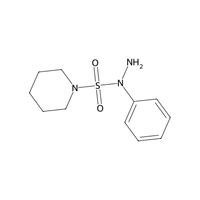 NN(c1ccccc1)S(=O)(=O)N1CCCCC1